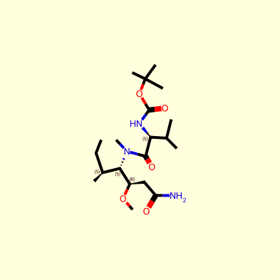 CC[C@H](C)[C@@H]([C@@H](CC(N)=O)OC)N(C)C(=O)[C@@H](NC(=O)OC(C)(C)C)C(C)C